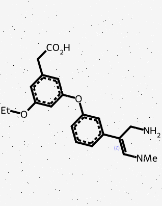 CCOc1cc(CC(=O)O)cc(Oc2cccc(/C(=C/NC)CN)c2)c1